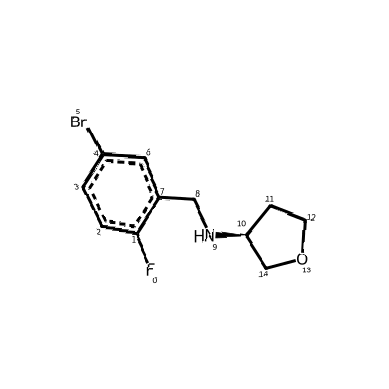 Fc1ccc(Br)cc1CN[C@H]1CCOC1